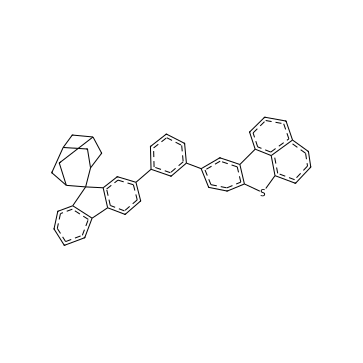 c1cc(-c2ccc3c(c2)-c2cccc4cccc(c24)S3)cc(-c2ccc3c(c2)C2(c4ccccc4-3)C3CC4CC(C3)CC2C4)c1